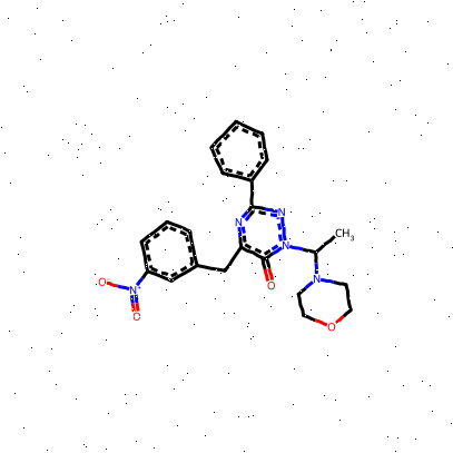 CC(N1CCOCC1)n1nc(-c2ccccc2)nc(Cc2cccc([N+](=O)[O-])c2)c1=O